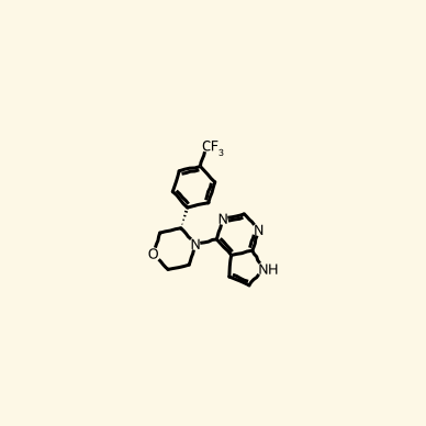 FC(F)(F)c1ccc([C@H]2COCCN2c2ncnc3[nH]ccc23)cc1